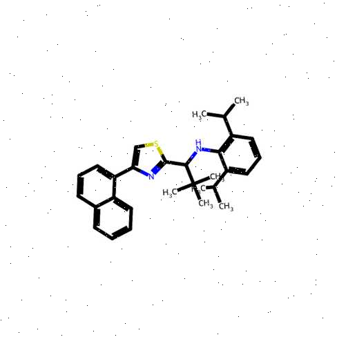 CC(C)c1cccc(C(C)C)c1NC(c1nc(-c2cccc3ccccc23)cs1)C(C)(C)C